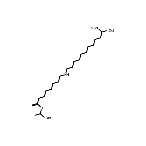 C=C(CCCCCCCNCCCCCCCCCCC(CCCCCCCC)CCCCCCCC)OC(C)CCCCCCCC